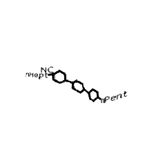 CCCCCCCC1(C#N)CCC(C2CCC(C3CCC(CCCCC)CC3)CC2)CC1